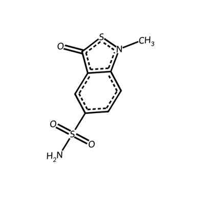 Cn1sc(=O)c2cc(S(N)(=O)=O)ccc21